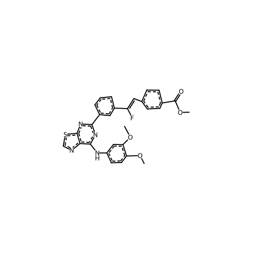 COC(=O)c1ccc(/C=C(\F)c2cccc(-c3nc(Nc4ccc(OC)c(OC)c4)c4ncsc4n3)c2)cc1